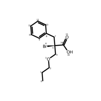 CCCOC[C@](Br)(Cc1ccccc1)C(=O)O